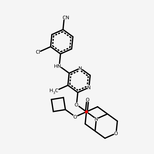 Cc1c(Nc2ccc(C#N)cc2Cl)ncnc1OC1CC2COCC(C1)N2C(=O)OC1CCC1